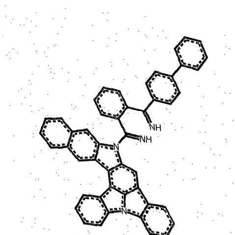 N=C(c1ccc(-c2ccccc2)cc1)c1ccccc1C(=N)n1c2cc3ccccc3cc2c2c3c4ccccc4n4c5ccccc5c(cc21)c34